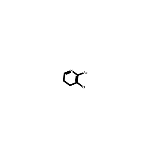 CC(=O)C1=C(Cl)CCC=N1